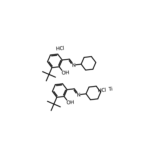 CC(C)(C)c1cccc(C=NC2CCCCC2)c1O.CC(C)(C)c1cccc(C=NC2CCCCC2)c1O.Cl.Cl.[Ti]